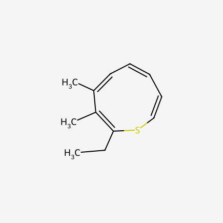 CCc1scccccc(C)c1C